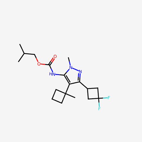 CC(C)COC(=O)Nc1c(C2(C)CCC2)c(C2CC(F)(F)C2)nn1C